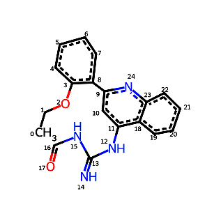 CCOc1ccccc1-c1cc(NC(=N)NC=O)c2ccccc2n1